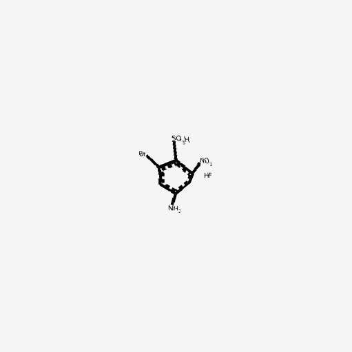 F.Nc1cc(Br)c(S(=O)(=O)O)c([N+](=O)[O-])c1